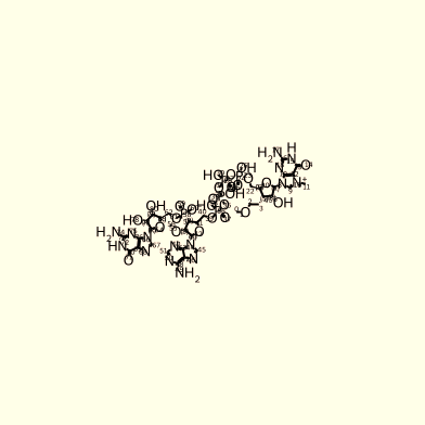 COCC[C@H]1[C@@H](O)[C@H](n2c[n+](C)c3c(=O)[nH]c(N)nc32)O[C@@H]1COP(=O)(O)OP(=O)(O)OP(=O)(O)OP(=O)(O)OCC1O[C@@H](n2cnc3c(N)ncnc32)[C@H](OC)[C@@H]1P(=O)([O-])OC[C@H]1O[C@@H](n2cnc3c(=O)[nH]c(N)nc32)[C@H](O)[C@@H]1O